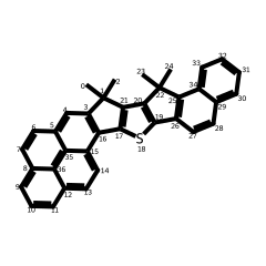 CC1(C)c2cc3ccc4cccc5ccc(c2-c2sc6c(c21)C(C)(C)c1c-6ccc2ccccc12)c3c45